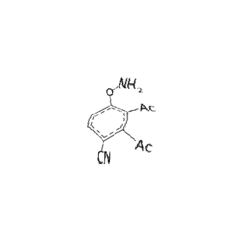 CC(=O)c1c(C#N)ccc(ON)c1C(C)=O